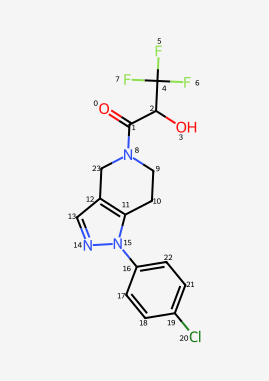 O=C(C(O)C(F)(F)F)N1CCc2c(cnn2-c2ccc(Cl)cc2)C1